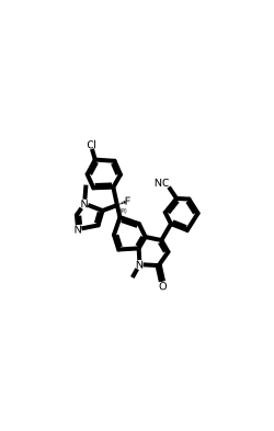 Cn1cncc1[C@@](F)(c1ccc(Cl)cc1)c1ccc2c(c1)c(-c1cccc(C#N)c1)cc(=O)n2C